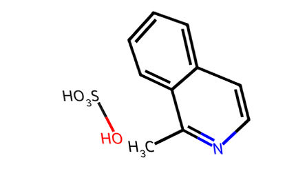 Cc1nccc2ccccc12.O=S(=O)(O)O